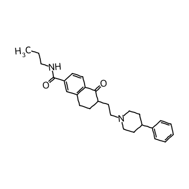 CCCNC(=O)c1ccc2c(c1)CCC(CCN1CCC(c3ccccc3)CC1)C2=O